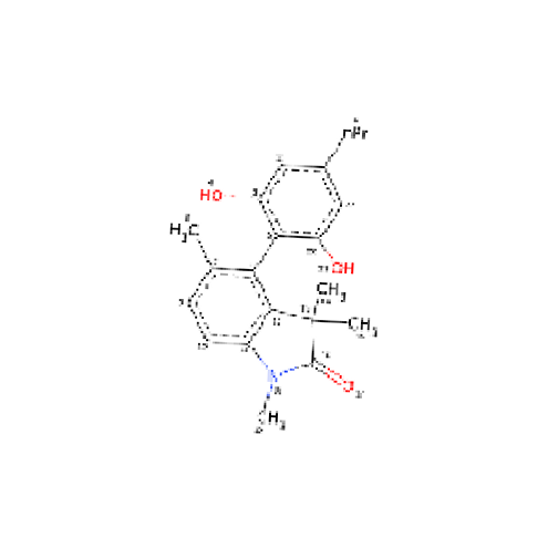 CCCc1cc(O)c(-c2c(C)ccc3c2C(C)(C)C(=O)N3C)c(O)c1